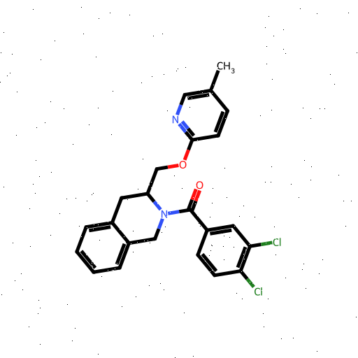 Cc1ccc(OCC2Cc3ccccc3CN2C(=O)c2ccc(Cl)c(Cl)c2)nc1